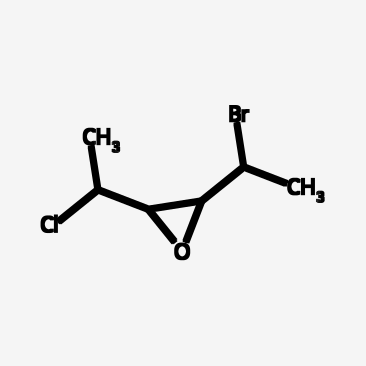 CC(Cl)C1OC1C(C)Br